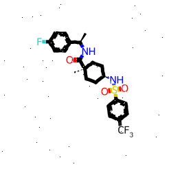 C[C@@H](NC(=O)[C@]1(C)CC[C@@H](NS(=O)(=O)c2ccc(C(F)(F)F)cc2)CC1)c1ccc(F)cc1